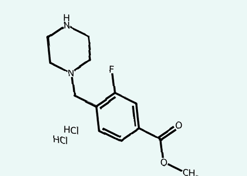 COC(=O)c1ccc(CN2CCNCC2)c(F)c1.Cl.Cl